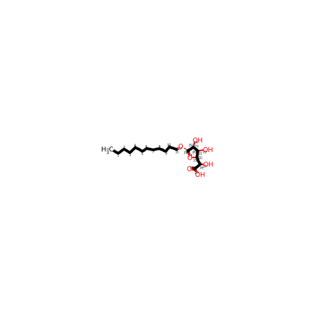 CCCCCCCCCCCCO[C@H]1O[C@H]([C@@H](O)C(=O)O)[C@H](O)[C@@H]1O